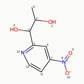 CC(O)C(O)c1cc([N+](=O)[O-])ccn1